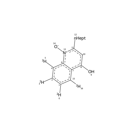 [2H]c1c([2H])c([2H])c2c(c(O)cc(CCCCCCC)[n+]2[O-])c1[2H]